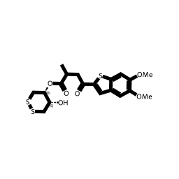 COc1cc2cc(C(=O)CC(C)C(=O)O[C@H]3CSSC[C@H]3O)sc2cc1OC